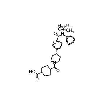 CC(C)(C)N(C(=O)c1ccc(N2CCN(C(=O)C3CCC(C(=O)O)CC3)CC2)cc1)c1ccccc1